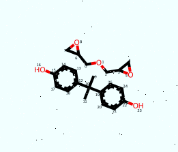 C(OCC1CO1)C1CO1.CC(C)(c1ccc(O)cc1)c1ccc(O)cc1